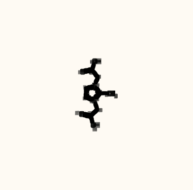 Cc1n(CC(=O)O)cc[n+]1CC(=O)O